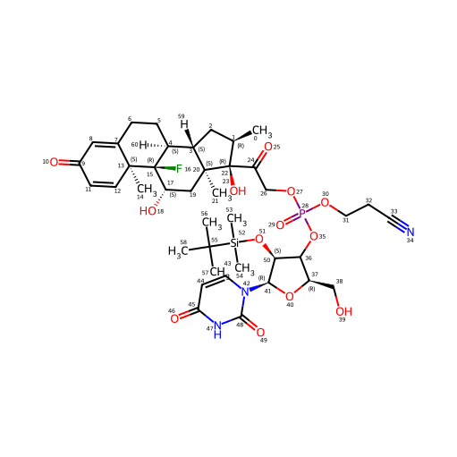 C[C@@H]1C[C@H]2[C@@H]3CCC4=CC(=O)C=C[C@]4(C)[C@@]3(F)[C@@H](O)C[C@]2(C)[C@@]1(O)C(=O)COP(=O)(OCCC#N)OC1[C@@H](CO)O[C@@H](n2ccc(=O)[nH]c2=O)[C@H]1O[Si](C)(C)C(C)(C)C